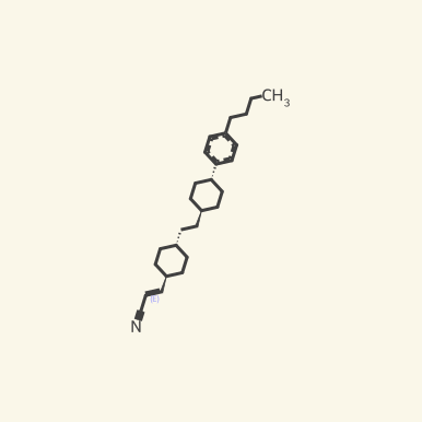 CCCCc1ccc([C@H]2CC[C@H](CC[C@H]3CC[C@H](/C=C/C#N)CC3)CC2)cc1